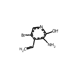 C=Cc1c(Br)cnc(O)c1N